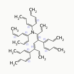 C=C\C=C/C(=C\C=C)C(/C=C)=C/C(C(/C=C\C=C)=C/C=C)=C(/C=C)N(C(/C=C\C=C)=C/C=C)C(/C=C\C)=C/C=C\C